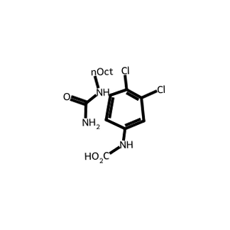 CCCCCCCCNC(N)=O.O=C(O)Nc1ccc(Cl)c(Cl)c1